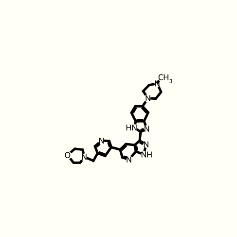 CN1CCN(c2ccc3[nH]c(-c4n[nH]c5ncc(-c6cncc(CN7CCOCC7)c6)cc45)nc3c2)CC1